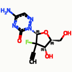 C#CC1(F)[C@@H](O)[C@@H](CO)O[C@H]1n1ncc(N)nc1=O